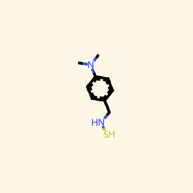 CN(C)c1ccc(CNS)cc1